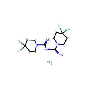 Cl.N=C(NC(=N)N1CCC(F)(F)CC1)N1CCC(F)(F)CC1